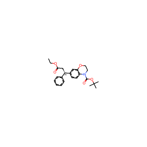 CCOC(=O)C[C@H](c1ccccc1)c1ccc2c(c1)OCCN2C(=O)OC(C)(C)C